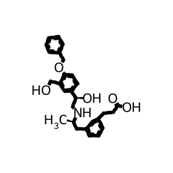 C[C@H](Cc1cccc(CCC(=O)O)c1)NC[C@H](O)c1ccc(OCc2ccccc2)c(CO)c1